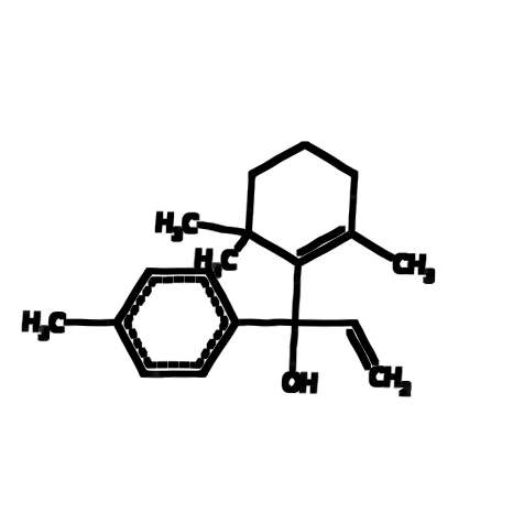 C=CC(O)(C1=C(C)CCCC1(C)C)c1ccc(C)cc1